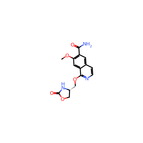 COc1cc2c(OC[C@@H]3COC(=O)N3)nccc2cc1C(N)=O